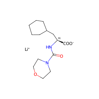 O=C([O-])[C@H](CC1CCCCC1)NC(=O)N1CCOCC1.[Li+]